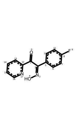 O=C(C(=NO)c1ccc(F)cc1)c1ccccn1